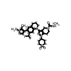 CNC(=O)N1CCc2c(c(N3CCCc4cc(-c5cnn(C)c5C)c(C(F)F)cc43)nn2C2CCS(=O)(=O)CC2)C1